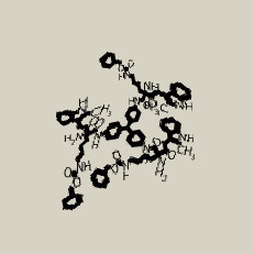 Cc1[nH]c2ccccc2c1CC(=O)[C@@](N)(CCCCNC(=O)OCc1ccccc1)C(=O)Nc1ccc(C(c2ccc(NC(=O)[C@](N)(CCCCNC(=O)OCc3ccccc3)C(=O)Cc3c(C)[nH]c4ccccc34)cc2)c2ccc(NC(=O)[C@](N)(CCCCNC(=O)OCc3ccccc3)C(=O)Cc3c(C)[nH]c4ccccc34)cc2)cc1